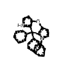 c1ccc(-n2ccc3c2C(c2ccccc2)(c2ccccc2)c2[nH]ccc2O3)cc1